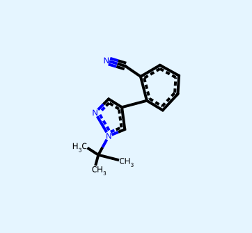 CC(C)(C)n1cc(-c2ccccc2C#N)cn1